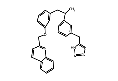 CC(Cc1cccc(OCc2ccc3ccccc3n2)c1)c1cccc(Cc2nnn[nH]2)c1